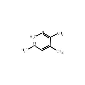 C/N=C(C)\C(C)=C/NC